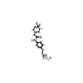 O=C(O)NCCc1ccc(NC(=O)CN2CCC(F)(F)CC2)cc1